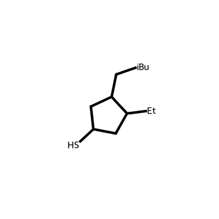 CCC(C)CC1CC(S)CC1CC